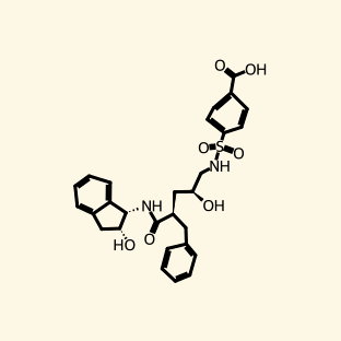 O=C(O)c1ccc(S(=O)(=O)NC[C@@H](O)C[C@@H](Cc2ccccc2)C(=O)N[C@H]2c3ccccc3C[C@H]2O)cc1